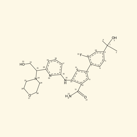 CC(C)(O)c1ccc(-c2cc(C(N)=O)c(Nc3cccc(C(CO)N4CCOCC4)n3)s2)c(F)c1